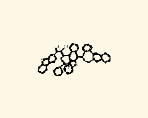 C=C(C)/C(=N\C(=C(\C)C(=C)c1ccc2c(c1)sc1ccccc12)c1c2ccccc2c(C2CCc3cc4ccccc4cc3-c3ccccc32)c2sc3ccccc3c12)c1ccccc1